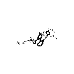 CCOC(=O)c1cccc(C2=C(c3ccccc3OCc3c(C)cc(C)cc3C)CCC2)n1